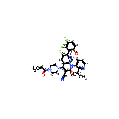 C=CC(=O)N1CCN(c2c(C#N)c(=O)n(-c3c(C)ccnc3C(C)C)c3nc(-c4c(O)ccc(F)c4F)c(F)cc23)CC1